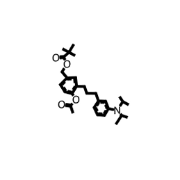 CC(=O)Oc1ccc(COC(=O)C(C)(C)C)cc1CCCc1cccc(N(C(C)C)C(C)C)c1